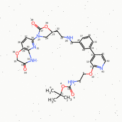 CC(C)(C)OC(=O)NCCOc1cc(-c2cccc(CNCC[C@H]3CN(c4ccc5c(n4)NC(=O)CO5)C(=O)O3)c2)ccn1